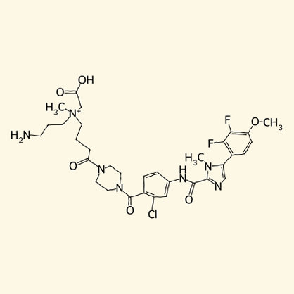 COc1ccc(-c2cnc(C(=O)Nc3ccc(C(=O)N4CCN(C(=O)CCC[N+](C)(CCCN)CC(=O)O)CC4)c(Cl)c3)n2C)c(F)c1F